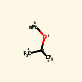 [CH2]CCOC(C(F)(F)F)C(F)(F)F